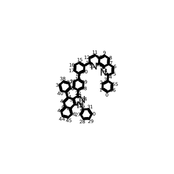 c1ccc(-c2ccc3ccc4ccc(-c5cccc(-c6ccc(-c7nn(-c8ccccc8)c8c7c(-c7ccccc7)cc7ccccc78)cc6)c5)nc4c3n2)cc1